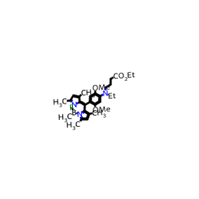 CCOC(=O)CCCN(CC)c1cc(OC)c(/C(=C2/N=C(C)C=C2C)c2c(C)cc(C)n2B(C)F)cc1OC